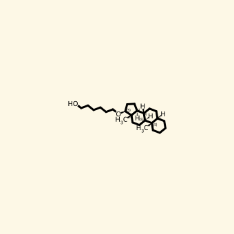 C[C@]12CCCC[C@@H]1CC[C@@H]1[C@@H]2CC[C@]2(C)[C@@H](OCCCCCCO)CC[C@@H]12